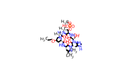 C=CCO[C@@H]1C[C@@H](C(=O)N[C@@H](CC(C)C)C(=O)N[C@@H](Cc2cnc[nH]2)C(=O)N[C@@H](CO)C(=O)NC(C(N)=O)C(C)OP(=O)(O)OC)N(C(C)=O)C1